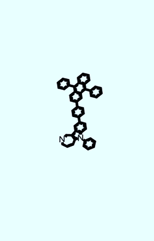 C1=Cc2c(c3cc(-c4ccc(-c5ccc6c(-c7ccccc7)c7ccccc7c(-c7ccccc7)c6c5)cc4)ccc3n2-c2ccccc2)C=NC1